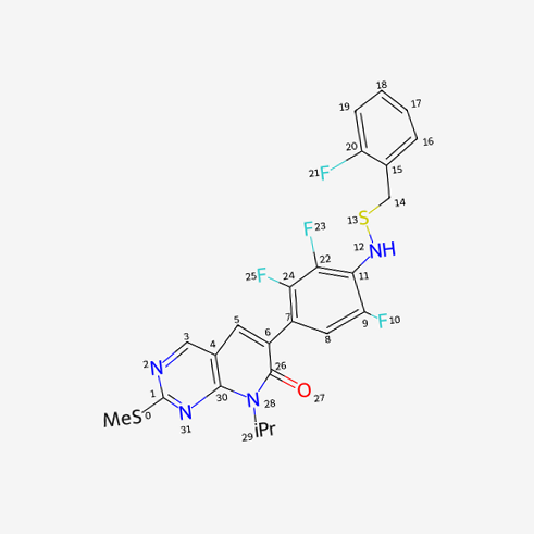 CSc1ncc2cc(-c3cc(F)c(NSCc4ccccc4F)c(F)c3F)c(=O)n(C(C)C)c2n1